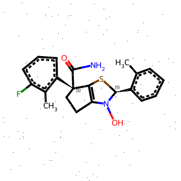 Cc1ccccc1[C@@H]1SC2=C(CC[C@@]2(C(N)=O)c2cccc(F)c2C)N1O